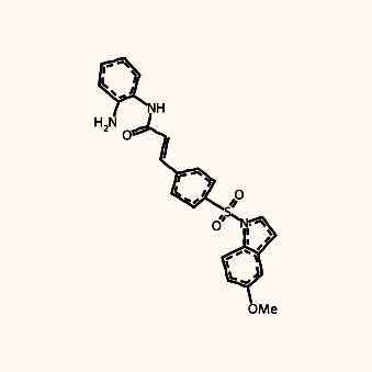 COc1ccc2c(ccn2S(=O)(=O)c2ccc(/C=C/C(=O)Nc3ccccc3N)cc2)c1